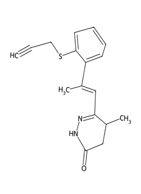 C#CCSc1ccccc1C(C)=CC1=NNC(=O)CC1C